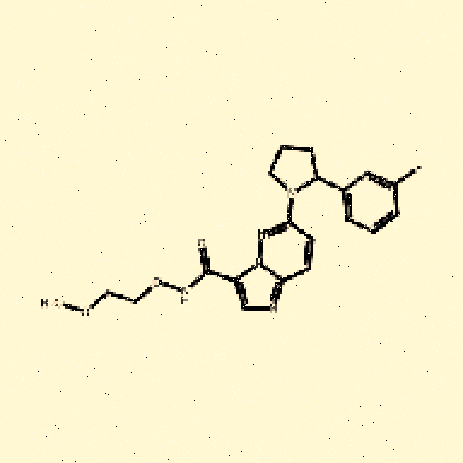 COCCONC(=O)c1cnc2ccc(N3CCCC3c3cccc(F)c3)nn12